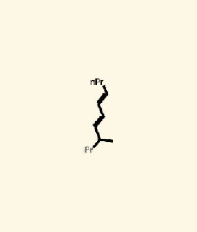 CCCC=CC=CC(C)C(C)C